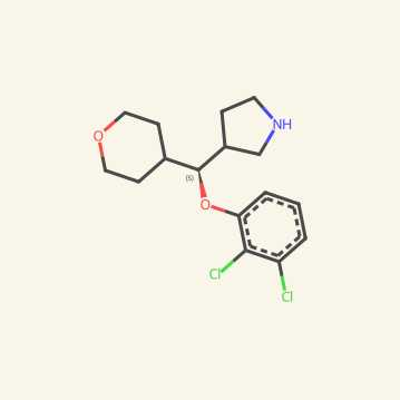 Clc1cccc(O[C@@H](C2CCOCC2)C2CCNC2)c1Cl